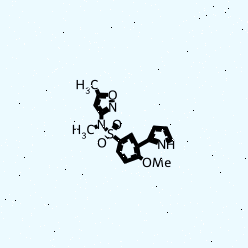 COc1ccc(S(=O)(=O)N(C)c2cc(C)on2)cc1-c1ccc[nH]1